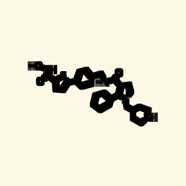 O=C(NO)c1ccc(-c2ccc(CNC(=O)c3ccn(CC4CCNCC4)c3-c3ccccc3)cc2)s1